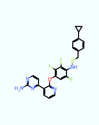 Nc1nccc(-c2cccnc2Oc2cc(F)c(NSCc3ccc(C4CC4)cc3)c(F)c2F)n1